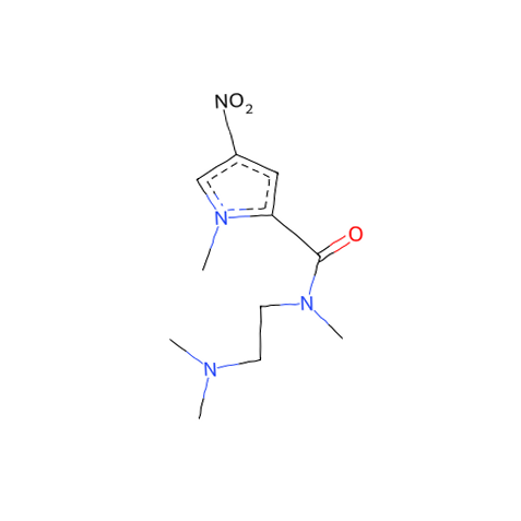 CN(C)CCN(C)C(=O)c1cc([N+](=O)[O-])cn1C